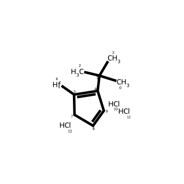 CC(C)(C)C1=[C]([Hf])CC=C1.Cl.Cl.Cl